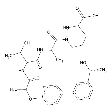 CC(NC(=O)C(NC(=O)C(C)Oc1ccc(-c2cccc([C@@H](C)O)c2)cc1)C(C)C)C(=O)N1CCCC(C(=O)O)N1